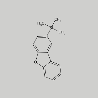 C[Si](C)(C)c1ccc2oc3ccccc3c2c1